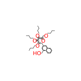 CCCCOC[C@H]1OC(c2cc(CO)c3ccccc3c2)[C@H](OCCCC)[C@@H](OCCCC)[C@@H]1OCCCC